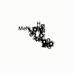 CNCCn1c(=O)n(CCC(C)(C)O)c2cc(Nc3nc(N4CCC(Nc5ccc6c(N7C(=O)CCCC7=O)nn(C)c6c5)CC4)ncc3Cl)ccc21